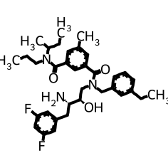 CCCN(C(=O)c1cc(C)cc(C(=O)N(Cc2cccc(CC)c2)C[C@@H](O)[C@@H](N)Cc2cc(F)cc(F)c2)c1)C(C)CC